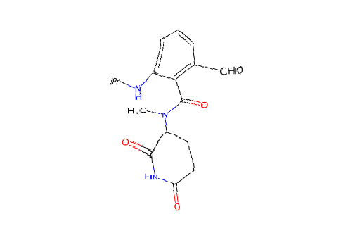 CC(C)Nc1cccc(C=O)c1C(=O)N(C)C1CCC(=O)NC1=O